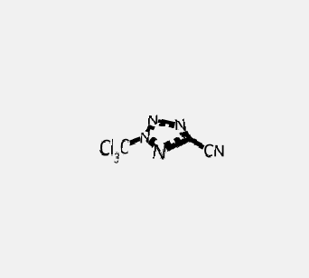 N#Cc1nnn(C(Cl)(Cl)Cl)n1